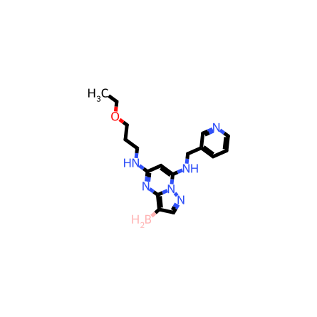 Bc1cnn2c(NCc3cccnc3)cc(NCCCOCC)nc12